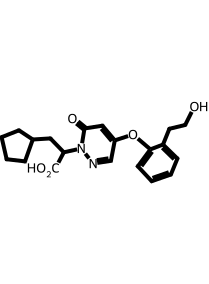 O=C(O)C(CC1CCCC1)n1ncc(Oc2ccccc2CCO)cc1=O